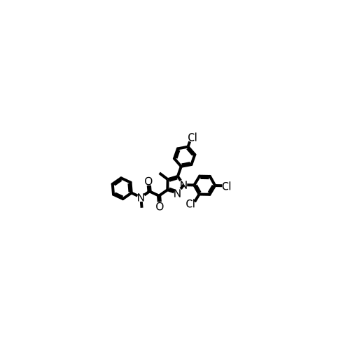 Cc1c(C(=O)C(=O)N(C)c2ccccc2)nn(-c2ccc(Cl)cc2Cl)c1-c1ccc(Cl)cc1